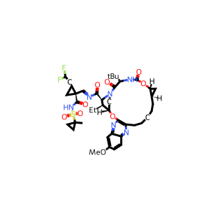 CC[C@@H]1[C@@H]2CN(C(=O)C(C(C)(C)C)NC(=O)O[C@@H]3C[C@H]3CCCCCc3nc4ccc(OC)cc4nc3O2)[C@@H]1C(=O)/N=C/[C@]1(C(=O)NS(=O)(=O)C2(C)CC2)C[C@H]1CC(F)F